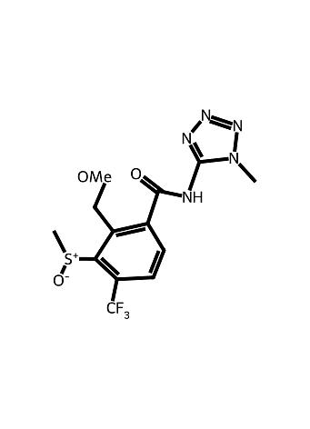 COCc1c(C(=O)Nc2nnnn2C)ccc(C(F)(F)F)c1[S+](C)[O-]